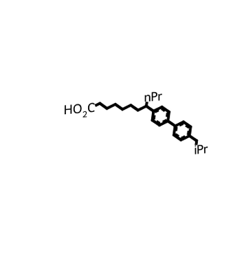 CCCC(CCCCCCC(=O)O)c1ccc(-c2ccc(CC(C)C)cc2)cc1